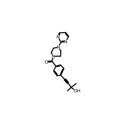 CC(C)(O)C#Cc1ccc(C(=O)N2CCN(c3ncccn3)CC2)cc1